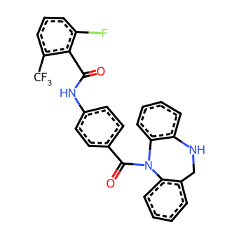 O=C(Nc1ccc(C(=O)N2c3ccccc3CNc3ccccc32)cc1)c1c(F)cccc1C(F)(F)F